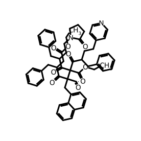 CCOC(=O)CC(Cc1ccccc1)C(=O)C([C]=O)(Cc1cccc2ccccc12)C(C(=O)OCC)(C(=O)C(CCc1ccncc1)Cc1ccccc1)C(=O)C(CCN1CCCC1=O)Cc1ccccc1